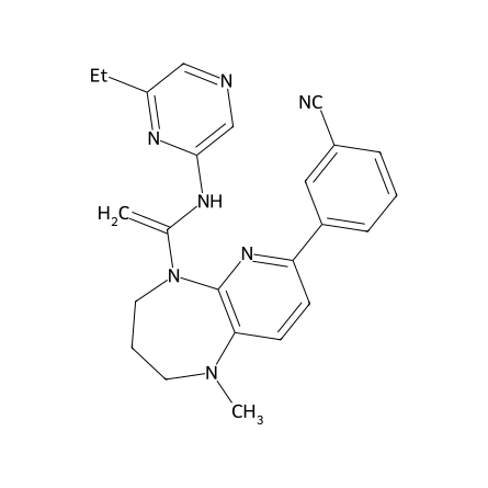 C=C(Nc1cncc(CC)n1)N1CCCN(C)c2ccc(-c3cccc(C#N)c3)nc21